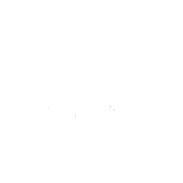 CC(C(=O)Br)c1ccccc1[N+](=O)[O-]